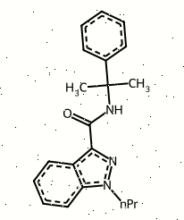 CCCn1nc(C(=O)NC(C)(C)c2ccccc2)c2ccccc21